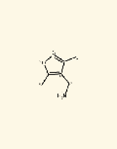 Cc1noc(C)c1CN